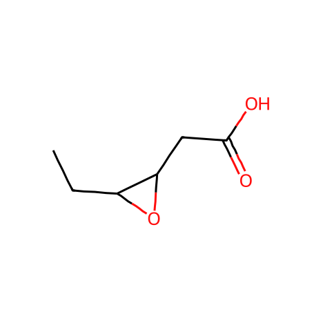 CCC1OC1CC(=O)O